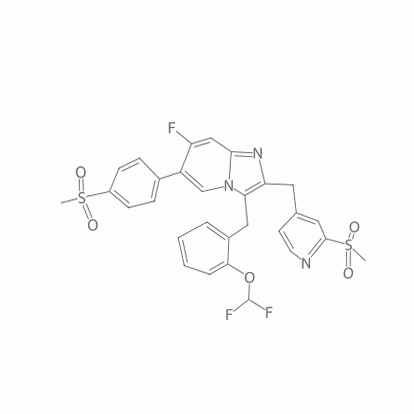 CS(=O)(=O)c1ccc(-c2cn3c(Cc4ccccc4OC(F)F)c(Cc4ccnc(S(C)(=O)=O)c4)nc3cc2F)cc1